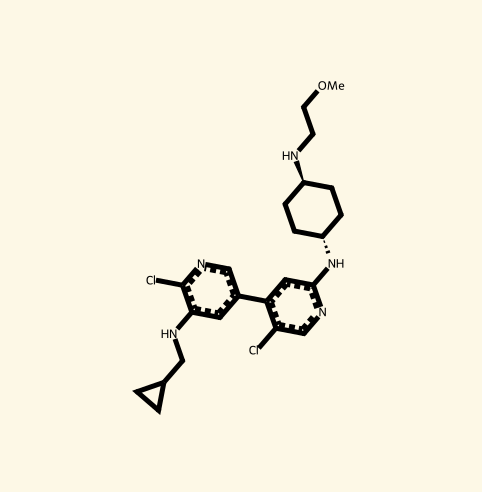 COCCN[C@H]1CC[C@H](Nc2cc(-c3cnc(Cl)c(NCC4CC4)c3)c(Cl)cn2)CC1